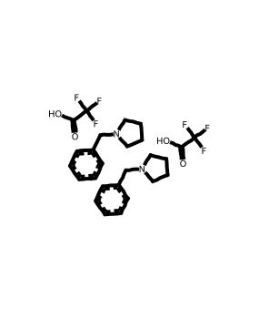 O=C(O)C(F)(F)F.O=C(O)C(F)(F)F.c1ccc(CN2CCCC2)cc1.c1ccc(CN2CCCC2)cc1